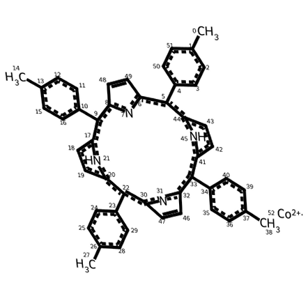 Cc1ccc(-c2c3nc(c(-c4ccc(C)cc4)c4ccc([nH]4)c(-c4ccc(C)cc4)c4nc(c(-c5ccc(C)cc5)c5ccc2[nH]5)C=C4)C=C3)cc1.[Co+2]